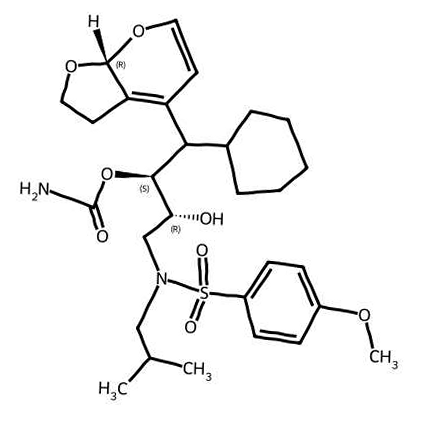 COc1ccc(S(=O)(=O)N(CC(C)C)C[C@@H](O)[C@@H](OC(N)=O)C(C2=C3CCO[C@@H]3OC=C2)C2CCCCC2)cc1